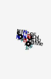 CNCc1cc(NC(=O)[C@@H]2O[C@@](C)(C(F)(F)F)[C@@H](C)[C@H]2c2ccc(F)c(F)c2OC)c(F)cn1